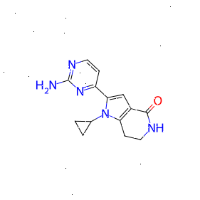 Nc1nccc(-c2cc3c(n2C2CC2)CCNC3=O)n1